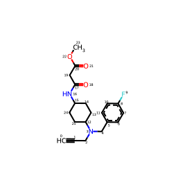 C#CCN(Cc1ccc(F)cc1)C1CCC(NC(=O)CC(=O)OC)CC1